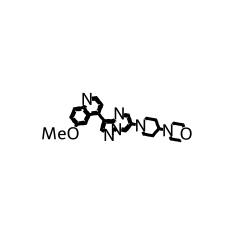 COc1ccc2nccc(-c3cnn4cc(N5CCC(N6CCOCC6)CC5)cnc34)c2c1